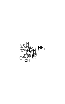 CCNC(=O)c1c(NCCN)nc(NC2CCOCC2)n1Cc1ccc(O)c(Cl)c1